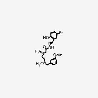 COc1cccc(CN(C)CCN(C)CC(=O)NN=Cc2cc(Br)ccc2O)c1